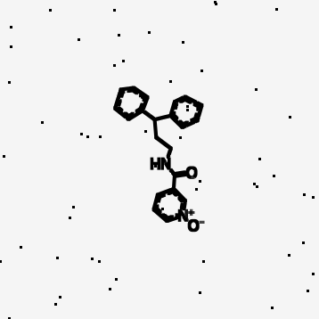 O=C(NCCC(c1ccccc1)c1ccccc1)c1ccc[n+]([O-])c1